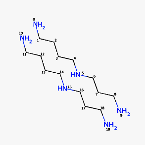 NCCCCNCCCN.NCCCCNCCCN